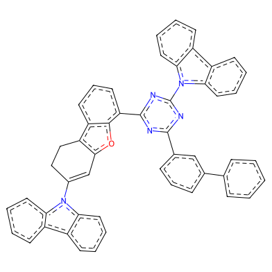 C1=C(n2c3ccccc3c3ccccc32)CCc2c1oc1c(-c3nc(-c4cccc(-c5ccccc5)c4)nc(-n4c5ccccc5c5ccccc54)n3)cccc21